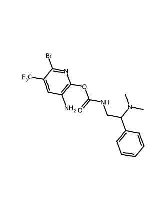 CN(C)C(CNC(=O)Oc1nc(Br)c(C(F)(F)F)cc1N)c1ccccc1